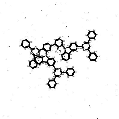 N#Cc1c(-c2ccc(-c3nc(-c4ccccc4)nc(-c4ccccc4)n3)c(-n3c4ccccc4c4cc(-c5nc(-c6ccccc6)nc(-c6ccccc6)n5)ccc43)c2)cccc1-n1c2ccccc2c2cc(-c3nc(-c4ccccc4)nc(-c4ccccc4)n3)ccc21